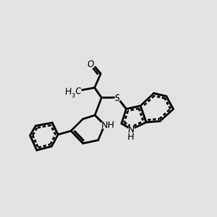 CC(C=O)C(Sc1c[nH]c2ccccc12)C1CC(c2ccccc2)=CCN1